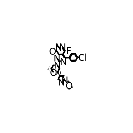 COCn1cc([C@@H]2CN(c3nc(-c4ccc(Cl)cc4F)c4cnn(C)c(=O)c4n3)C[C@@H](C)O2)cn1